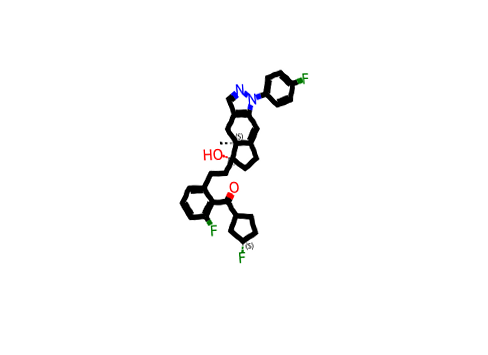 C[C@]12Cc3cnn(-c4ccc(F)cc4)c3C=C1CC[C@@]2(O)CCc1cccc(F)c1C(=O)C1CC[C@H](F)C1